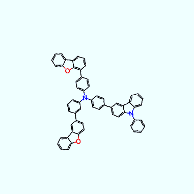 c1ccc(-n2c3ccccc3c3cc(-c4ccc(N(c5ccc(-c6cccc7c6oc6ccccc67)cc5)c5cccc(-c6ccc7oc8ccccc8c7c6)c5)cc4)ccc32)cc1